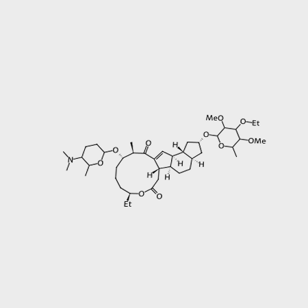 CCOC1C(OC)C(C)OC(O[C@@H]2C[C@H]3CC[C@@H]4[C@@H](C=C5C(=O)[C@H](C)[C@@H](OC6CCC(N(C)C)C(C)O6)CCC[C@H](CC)OC(=O)C[C@H]54)[C@@H]3C2)C1OC